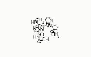 CNc1cc(-c2cn([C@@H]3CCC[C@H]3OC)c3ncccc23)nc2c(C(=O)NC3CC[C@@H]3O)cnn12